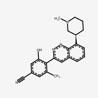 Cc1cc(C#N)cc(O)c1-c1cc2cccc([C@@H]3CCCN(C)C3)c2nn1